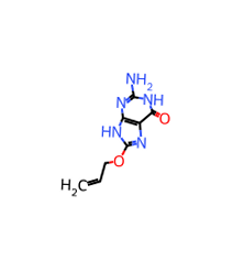 C=CCOc1nc2c(=O)[nH]c(N)nc2[nH]1